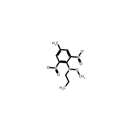 CCCN(OC)c1c([N+](=O)[O-])cc(C)cc1[N+](=O)[O-]